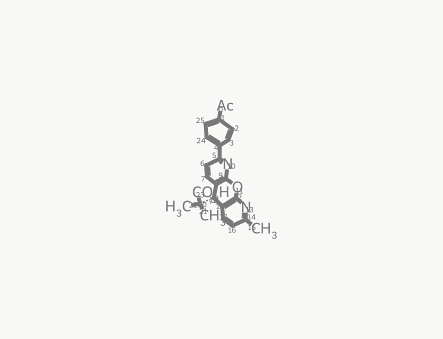 CC(=O)c1ccc(-c2ccc3c(n2)Oc2nc(C)ccc2[C@@H]3C(C)(C)C(=O)O)cc1